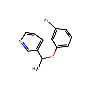 CCc1cccc(OC(C)c2cccnc2)c1